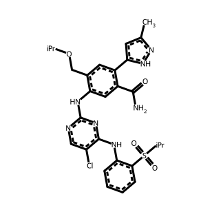 Cc1cc(-c2cc(COC(C)C)c(Nc3ncc(Cl)c(Nc4ccccc4S(=O)(=O)C(C)C)n3)cc2C(N)=O)[nH]n1